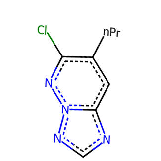 CCCc1cc2ncnn2nc1Cl